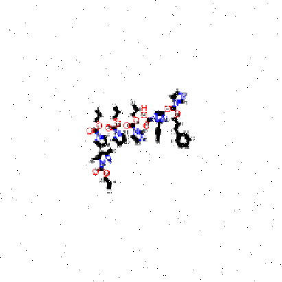 C=CCOC(=O)N1C=CCC1.C=CCOC(=O)n1cccc1.C=CCOC(=O)n1ccnc1.C=CCOC(=O)n1nc(C)cc1C.CC#Cc1nccn1C(=O)O.O=C(OCC=Cc1ccccc1)n1ccnc1